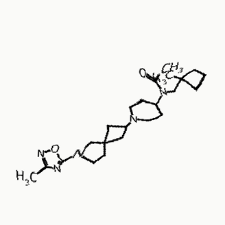 CC(=O)N(CC1(C)CCC1)C1CCN(C2CC3(CCN(c4nc(C)no4)C3)C2)CC1